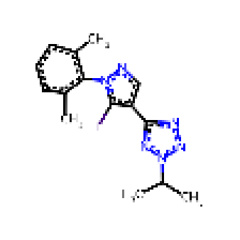 Cc1cccc(C)c1-n1ncc(-c2nnn(C(C)C)n2)c1I